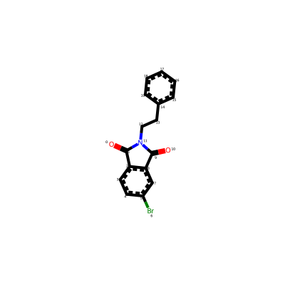 O=C1c2ccc(Br)cc2C(=O)N1CCc1ccccc1